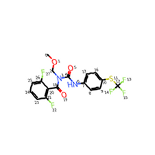 COCN(C(=O)Nc1ccc(SC(F)(F)F)cc1)C(=O)c1c(F)cccc1F